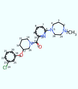 CN1CCCN(c2cccc(C(=O)N3CCCC(Oc4cccc(Cl)c4)C3)n2)CC1